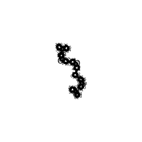 c1cc(-c2ccc3oc4ccc(-c5ccc6oc7ccc(-n8c9ccccc9c9ccccc98)cc7c6c5)cc4c3c2)cc(-c2ccc3sc4ccc(-n5c6ccccc6c6ccccc65)cc4c3c2)c1